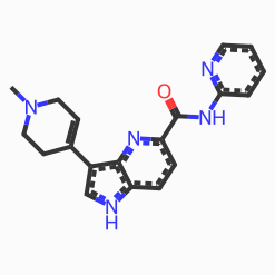 CN1CC=C(c2c[nH]c3ccc(C(=O)Nc4ccccn4)nc23)CC1